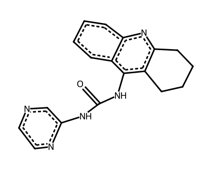 O=C(Nc1cnccn1)Nc1c2c(nc3ccccc13)CCCC2